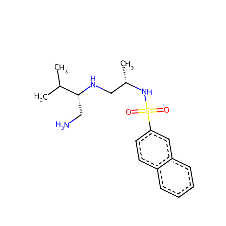 CC(C)[C@@H](CN)NC[C@H](C)NS(=O)(=O)c1ccc2ccccc2c1